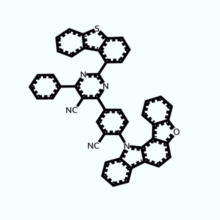 N#Cc1cc(-c2nc(-c3cccc4sc5ccccc5c34)nc(-c3ccccc3)c2C#N)ccc1-n1c2ccccc2c2ccc3oc4ccccc4c3c21